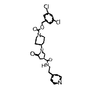 O=C(NCCc1ccncc1)C1CC(=O)N(C2CCN(C(=O)OCc3cc(Cl)cc(Cl)c3)CC2)C1